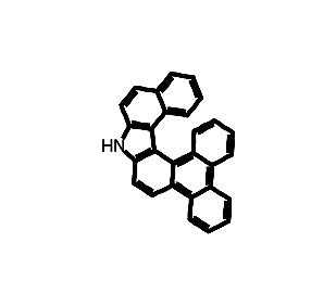 c1ccc2c(c1)ccc1[nH]c3ccc4c5ccccc5c5ccccc5c4c3c12